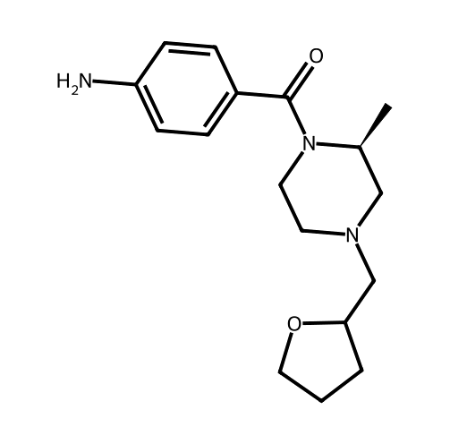 C[C@H]1CN(CC2CCCO2)CCN1C(=O)c1ccc(N)cc1